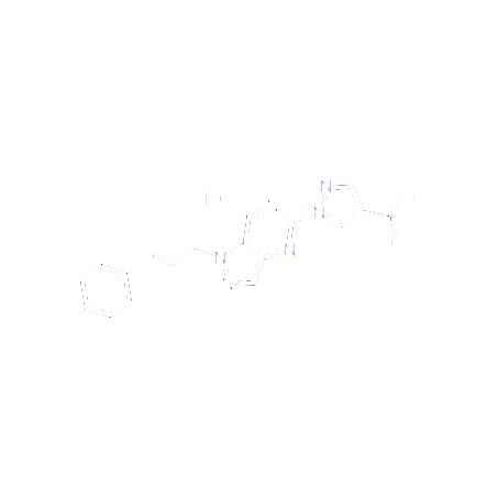 O=C(O)c1cnn(-c2nc(O)c3c(cnn3CCOc3ccccc3)n2)c1